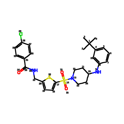 CC(C)(C)c1cccc(NC2CCN(S(=O)(=O)c3ccc(CNC(=O)c4ccc(Cl)cc4)s3)CC2)c1